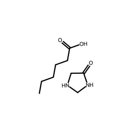 CCCCCC(=O)O.O=C1CNCN1